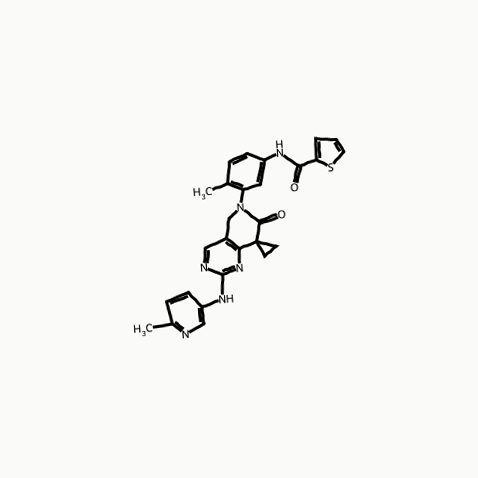 Cc1ccc(Nc2ncc3c(n2)C2(CC2)C(=O)N(c2cc(NC(=O)c4cccs4)ccc2C)C3)cn1